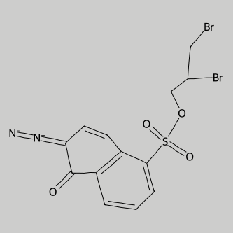 [N-]=[N+]=C1C=Cc2c(cccc2S(=O)(=O)OCC(Br)CBr)C1=O